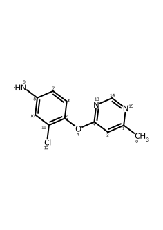 Cc1cc(Oc2ccc([NH])cc2Cl)ncn1